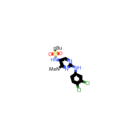 CCCCS(=O)(=O)Nc1cnc(Nc2ccc(Cl)c(Cl)c2)nc1NC